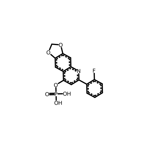 O=P(O)(O)Oc1cc(-c2ccccc2F)nc2cc3c(cc12)OCO3